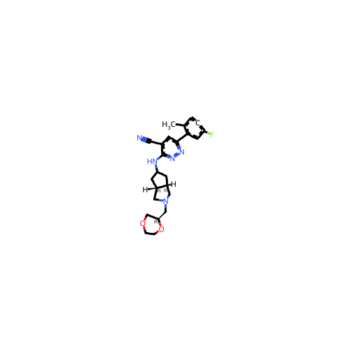 Cc1ccc(F)cc1-c1cc(C#N)c(NC2C[C@@H]3CN(C[C@@H]4COCCO4)C[C@@H]3C2)nn1